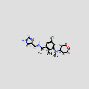 CCN(c1cc(Cl)cc(C(=O)NCc2c[nH]cn2)c1C)C1CCOCC1